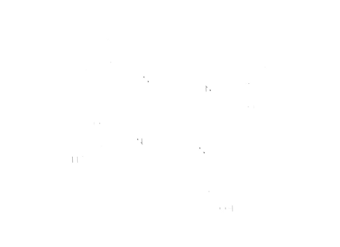 CC(N1CCN(CC(=O)O)CCN(CC(=O)O)CCN(CC(=O)O)CC1)P(=O)(O)O